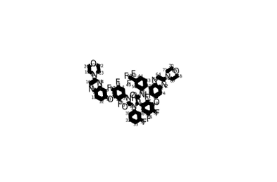 O=C(Nc1cc(F)c(F)c(Oc2ccc3ncc(N4CCOCC4)nc3c2)c1F)N(c1cccc(F)c1)N(C(=O)Nc1cccc(C(F)(F)F)c1)c1cc(F)c(F)c(Oc2ccc3ncc(N4CCOCC4)nc3c2)c1F